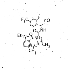 CCNc1ccc(C)cc1C(=O)N1[C@@H](C(=O)NC(c2ccc(C(F)(F)F)cc2F)C2COC2)C[C@@H](C)[C@H]1C